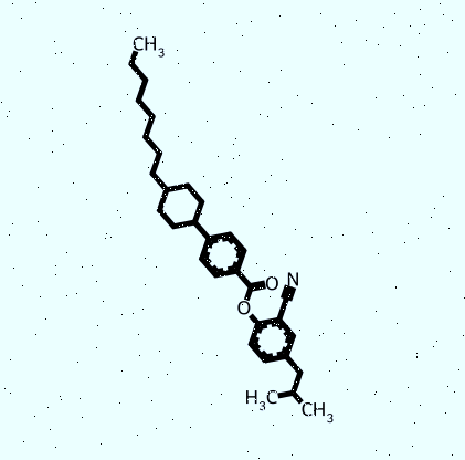 CCCCCCCCC1CCC(c2ccc(C(=O)Oc3ccc(CC(C)C)cc3C#N)cc2)CC1